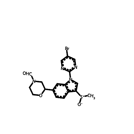 C[S+]([O-])c1cn(-c2ncc(Br)cn2)c2cc(C3CN(C=O)CCO3)ccc12